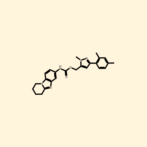 Cc1ccc(-c2cc(COC(=O)Nc3ccc4c(c3)nc3n4CCCC3)n(C)n2)c(C)c1